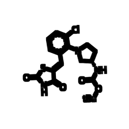 CC(C)(C)OC(=O)N[C@H]1CCN(c2c(Cl)cccc2/C=C2\SC(=O)NC2=O)C1